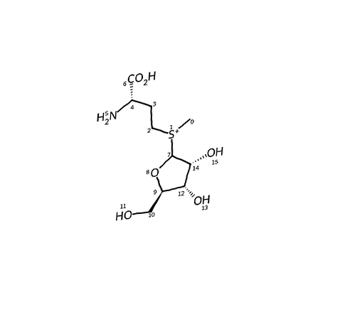 C[S+](CC[C@H](N)C(=O)O)C1O[C@H](CO)[C@@H](O)[C@H]1O